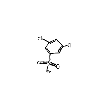 CC(C)S(=O)(=O)c1cc(Cl)cc(Cl)c1